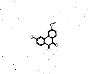 COc1ccc2c(c1)-c1cc(Cl)ccc1C(=O)C2=O